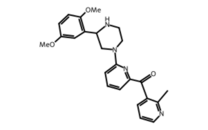 COc1ccc(OC)c(C2CN(c3cccc(C(=O)c4cccnc4C)n3)CCN2)c1